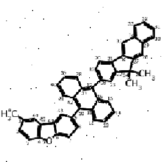 Cc1ccc2oc3ccc(-c4c5ccccc5c(-c5ccc6c(c5)C(C)(C)c5cc7ccccc7cc5-6)c5ccccc45)cc3c2c1